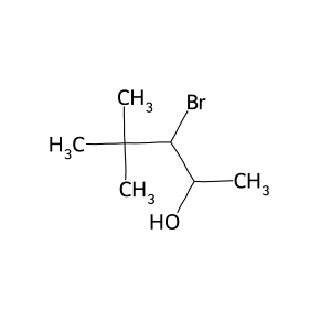 CC(O)C(Br)C(C)(C)C